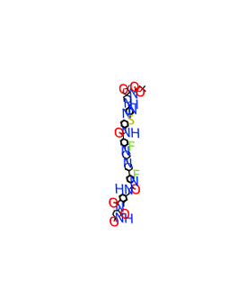 C[C@@H]1OCC2(CCN(c3cnc(Sc4cccc(NC(=O)c5ccc(N6CCC(N7CC=C(c8ccc(C(=O)NCc9ccc%10c(c9)CN(C9CCC(=O)NC9=O)C%10=O)nc8F)CC7)CC6)c(F)c5)c4)cn3)CC2)[C@@H]1NC(=O)OC(C)(C)C